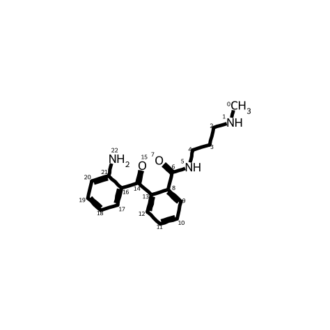 CNCCCNC(=O)c1ccccc1C(=O)c1ccccc1N